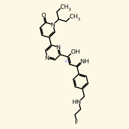 CCC(CC)n1cc(-c2cncc(/C(O)=C/C(=N)c3ccc(CNCCF)cc3)n2)ccc1=O